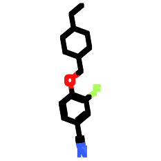 CCC1CCC(COc2ccc(C#N)cc2F)CC1